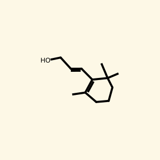 CC1=C(/C=C/CO)C(C)(C)CCC1